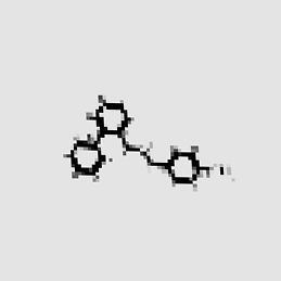 Cc1ccc(COCc2ccccc2-c2ccccc2)cc1